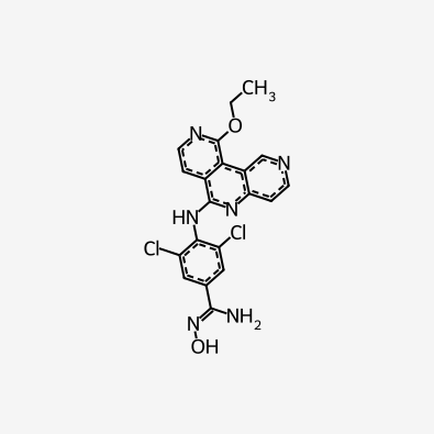 CCOc1nccc2c(Nc3c(Cl)cc(/C(N)=N/O)cc3Cl)nc3ccncc3c12